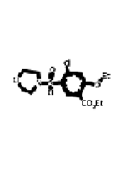 CCOC(=O)c1cc(S(=O)(=O)N2CCOCC2)c(Cl)cc1OCC